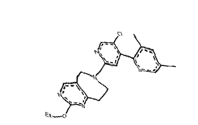 CCOc1ncc2c(n1)CCN(c1cc(-c3ncc(C)cc3C)c(Cl)cn1)C2